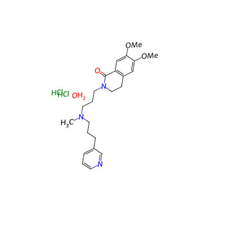 COc1cc2c(cc1OC)C(=O)N(CCCN(C)CCCc1cccnc1)CC2.Cl.Cl.O